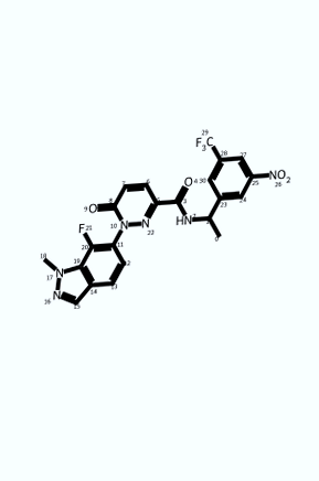 CC(NC(=O)c1ccc(=O)n(-c2ccc3cnn(C)c3c2F)n1)c1cc([N+](=O)[O-])cc(C(F)(F)F)c1